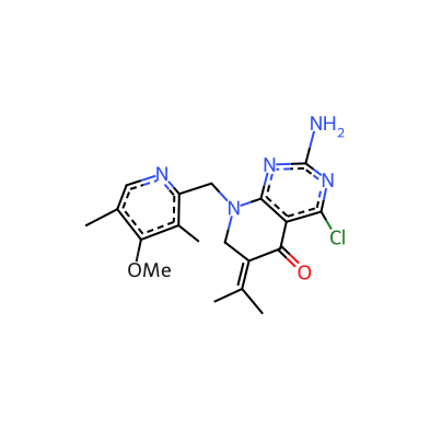 COc1c(C)cnc(CN2CC(=C(C)C)C(=O)c3c(Cl)nc(N)nc32)c1C